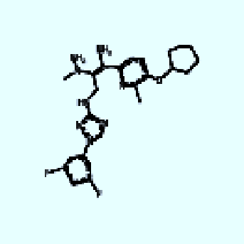 Cc1nc(/C(N)=C(\CNc2ncn(-c3cc(F)cc(F)c3)n2)N(C)N)ccc1OC1CCCCC1